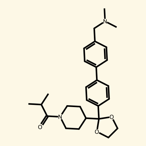 CC(C)C(=O)N1CCC(C2(c3ccc(-c4ccc(CN(C)C)cc4)cc3)OCCO2)CC1